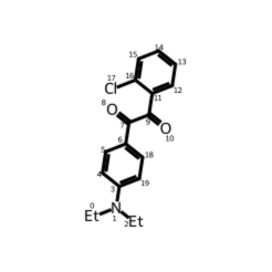 CCN(CC)c1ccc(C(=O)C(=O)c2ccccc2Cl)cc1